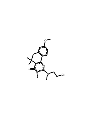 COc1ccc2c(c1)CC(C)(C)c1c-2nc(N(C)CCO)n(C)c1=O